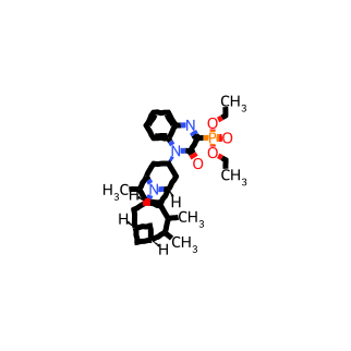 CCOP(=O)(OCC)c1nc2ccccc2n([C@@H]2CC3C(C)CC[C@H](C2)N3[C@H]2CC(C)C(C)[C@H]3C[C@@H](C2)C3)c1=O